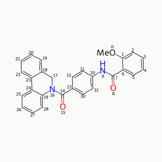 COc1ccccc1C(=O)Nc1ccc(C(=O)N2Cc3ccccc3-c3ccccc32)cc1